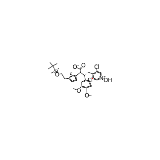 COc1ccc([C@@H](Cc2c(Cl)c[n+](O)cc2Cl)C(C(=O)[O-])c2ccc(CCO[Si](C)(C)C(C)(C)C)s2)cc1OC